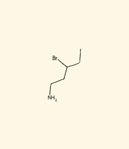 CCC(Br)CCN